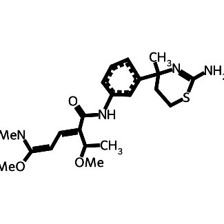 CN/C(=C\C=C(\C(=O)Nc1cccc(C2(C)CCSC(N)=N2)c1)C(C)OC)OC